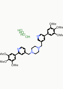 COc1cc(-c2cncc(CN3CCN(Cc4ccnc(-c5cc(OC)c(OC)c(OC)c5)c4)CC3)c2)cc(OC)c1OC.Cl.Cl.Cl.Cl